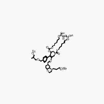 CCOCC(C)COCc1ccc(C2C(OCC3CCC4OCCN(CCCOC)C4C3)CN(C(=O)OCCCCCCON(O)O)CC2OC(=O)OCCCCCCON(O)O)cc1